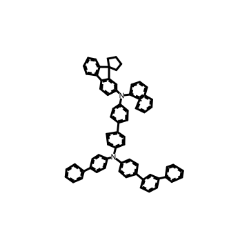 c1ccc(-c2ccc(N(c3ccc(-c4ccc(N(c5ccc6c(c5)C5(CCCC5)c5ccccc5-6)c5cccc6ccccc56)cc4)cc3)c3ccc(-c4cccc(-c5ccccc5)c4)cc3)cc2)cc1